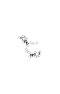 c1ccc(-c2ccc3cc(-c4nc(-n5c6ccc7oc8ccc9c%10ccccc%10n%10c%11cccc5c%11c6c7c8c9%10)nc5cc(-c6ccc7ccc8cc(-c9nc(-n%10c%11ccc%12oc%13ccc%14c%15ccccc%15n%15c%16cccc%10c%16c%11c%12c%13c%14%15)nc%10ccccc9%10)ccc8c7c6)ccc45)ccc3c2)cc1